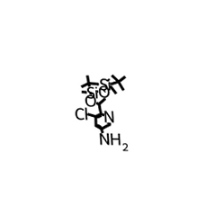 CC(C)(C)[Si](C)(C)OCC(O[Si](C)(C)C(C)(C)C)c1ncc(N)cc1Cl